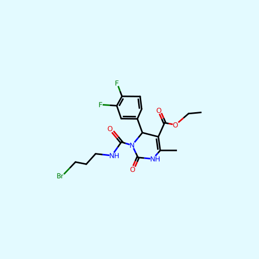 CCOC(=O)C1=C(C)NC(=O)N(C(=O)NCCCBr)C1c1ccc(F)c(F)c1